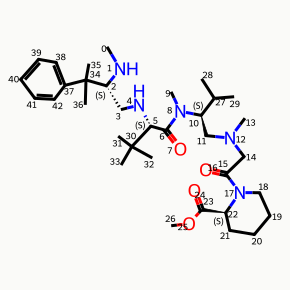 CN[C@H](CN[C@H](C(=O)N(C)[C@H](CN(C)CC(=O)N1CCCC[C@H]1C(=O)OC)C(C)C)C(C)(C)C)C(C)(C)c1ccccc1